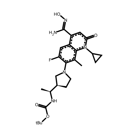 Cc1c(N2CC[C@@H]([C@H](C)NC(=O)OC(C)(C)C)C2)c(F)cc2c(/C(N)=N/O)cc(=O)n(C3CC3)c12